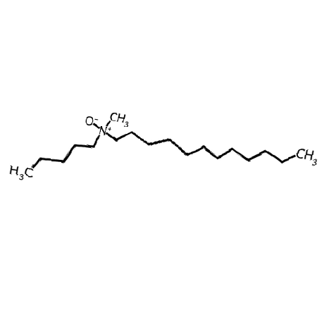 CCCCCCCCCCCC[N+](C)([O-])CCCCC